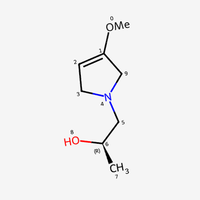 COC1=CCN(C[C@@H](C)O)C1